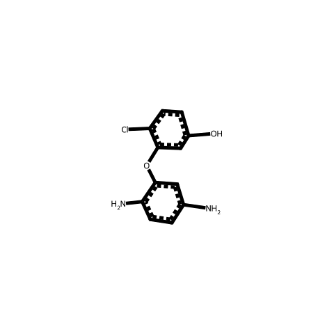 Nc1ccc(N)c(Oc2cc(O)ccc2Cl)c1